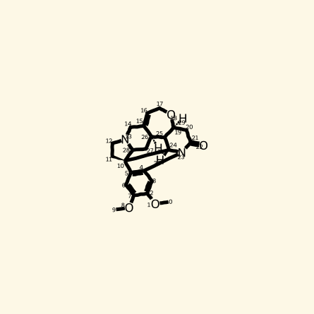 COc1cc2c(cc1OC)[C@@]13CCN4CC5=CCO[C@H]6CC(=O)N2[C@H]1C6[C@H]5CC43